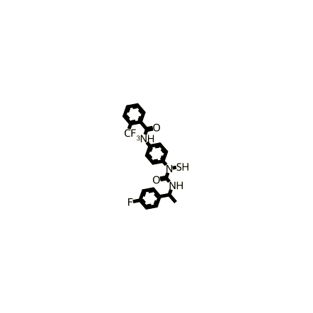 CC(NC(=O)N(S)c1ccc(NC(=O)c2ccccc2C(F)(F)F)cc1)c1ccc(F)cc1